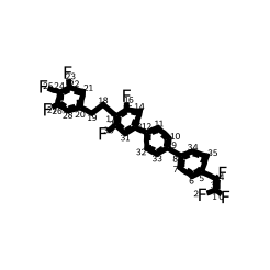 FC(F)=C(F)c1ccc(-c2ccc(-c3cc(F)c(CCc4cc(F)c(F)c(F)c4)c(F)c3)cc2)cc1